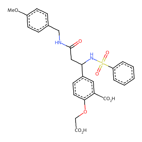 COc1ccc(CNC(=O)CC(NS(=O)(=O)c2ccccc2)c2ccc(OCC(=O)O)c(C(=O)O)c2)cc1